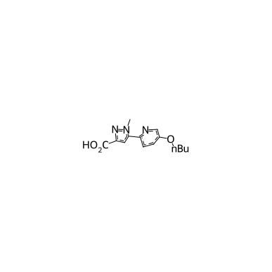 CCCCOc1ccc(-c2cc(C(=O)O)nn2C)nc1